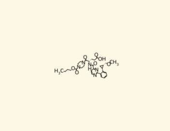 CCCCOC(=O)N1CCN(C(=O)[C@H](CCC(=O)O)NC(=O)c2ccnc(-c3ccccc3[C@H]3C[C@@H]3COC)n2)CC1